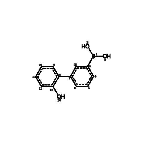 OB(O)c1cccc(-c2ccccc2O)c1